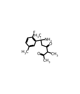 CC(=O)C(C)C(=O)C[C@](C)(N)c1cc(C)ccc1F